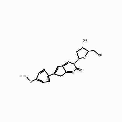 CCCCCCOc1ccc(-c2cc3cn([C@H]4C[C@H](O)[C@@H](CO)O4)c(=O)nc3o2)cc1